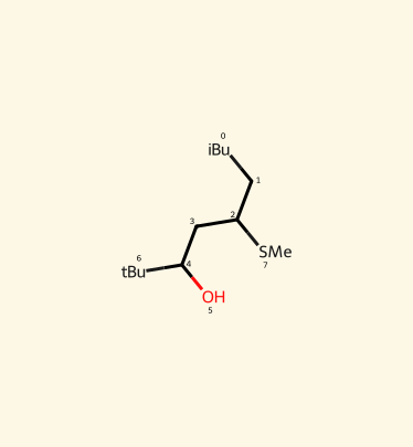 CCC(C)CC(CC(O)C(C)(C)C)SC